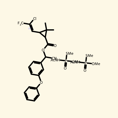 CC1(C)C(/C=C(\Cl)C(F)(F)F)C1C(=O)OC(C#N)c1cccc(Oc2ccccc2)c1.COP(=O)(NC(C)=O)SC.COP(=O)(NC(C)=O)SC